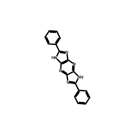 c1ccc(-c2nc3nc4[nH]c(-c5ccccc5)nc4nc3[nH]2)cc1